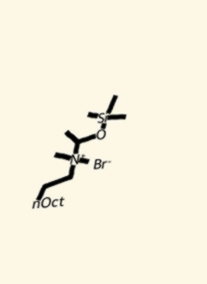 CCCCCCCCCC[N+](C)(C)C(C)O[Si](C)(C)C.[Br-]